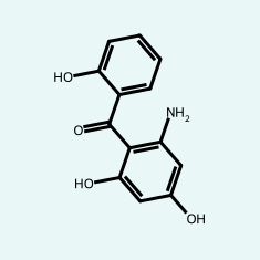 Nc1cc(O)cc(O)c1C(=O)c1ccccc1O